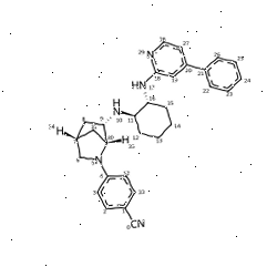 N#Cc1ccc(N2C[C@@H]3C[C@H](N[C@@H]4CCCC[C@H]4Nc4cc(-c5ccccc5)ccn4)[C@H]2C3)cc1